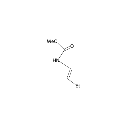 CCC=CNC(=O)OC